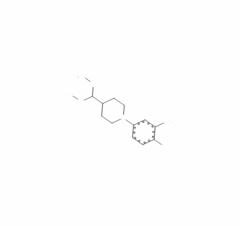 CCCCOC(OCCCC)C1CCN(c2ccc(C(=O)O)c(C#N)c2)CC1